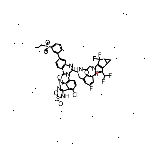 CCCS(=O)(=O)c1cccc(-c2ccc3c(=O)n(-c4ccc(Cl)c5c(NS(C)(=O)=O)nn(C)c45)c([C@H](Cc4cc(F)cc(F)c4)NC(=O)Cn4nc(C(F)F)c5c4C(F)(F)C4CC54)nc3c2)c1